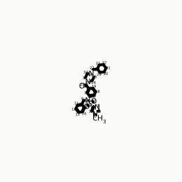 Cn1cnc(S(=O)(=O)N(Cc2ccccc2)c2cccc(C(=O)N3CCN(CC4CCCCC4)CC3)c2)c1